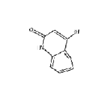 [2H]c1cc(=O)[nH]c2ccccc12